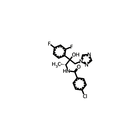 C[C@@H](NC(=O)c1ccc(Cl)cc1)C(O)(Cn1cncn1)c1ccc(F)cc1F